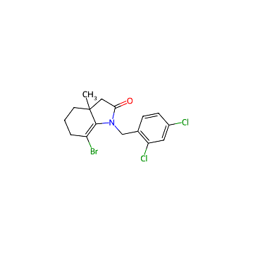 CC12CCCC(Br)=C1N(Cc1ccc(Cl)cc1Cl)C(=O)C2